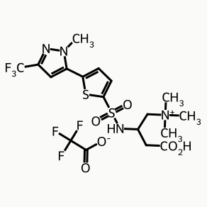 Cn1nc(C(F)(F)F)cc1-c1ccc(S(=O)(=O)NC(CC(=O)O)C[N+](C)(C)C)s1.O=C([O-])C(F)(F)F